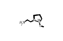 CO[SiH]1CCCN1CCN